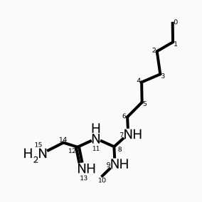 CCCCCCCNC(NC)NC(=N)CN